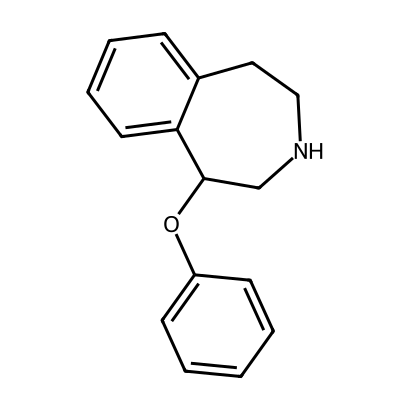 c1ccc(OC2CNCCc3ccccc32)cc1